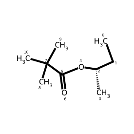 CC[C@H](C)OC(=O)C(C)(C)C